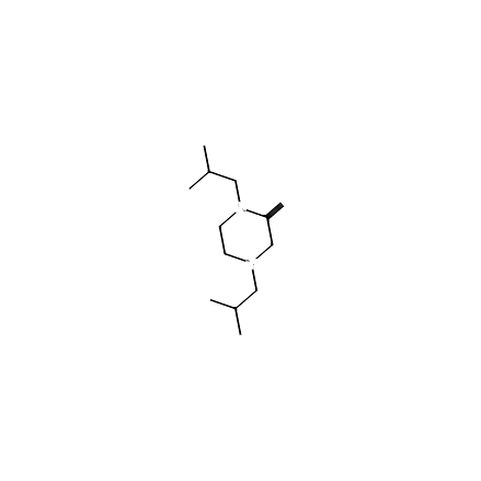 CC(C)CN1CCN(CC(C)C)C(=O)C1